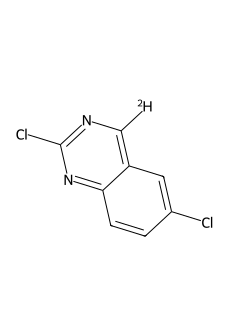 [2H]c1nc(Cl)nc2ccc(Cl)cc12